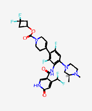 C[C@H]1CN(c2cc(F)c(C3=CCN(C(=O)OC4CC(F)(F)C4)CC3)c(F)c2NC(=O)c2c[nH]c(=O)cc2C(F)F)CCN1C